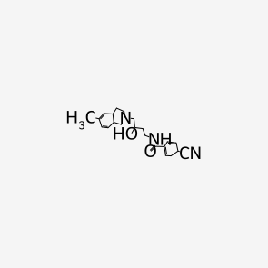 CC1=CC2CCN(CC(O)CCNC(=O)C3=CCC(C#N)C=C3)CC2C=C1